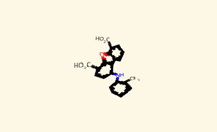 O=C(O)c1cccc2c1oc1c(C(=O)O)ccc(Nc3ccccc3C(F)(F)F)c12